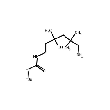 CC(C)(CN)CC(C)(C)CCNC(=O)OC(C)(C)C